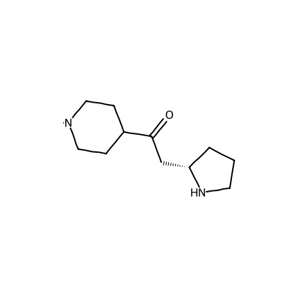 O=C(C[C@@H]1CCCN1)C1CC[N]CC1